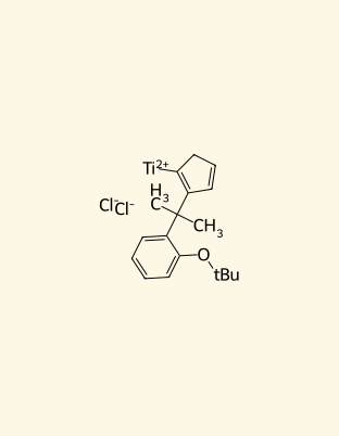 CC(C)(C)Oc1ccccc1C(C)(C)C1=[C]([Ti+2])CC=C1.[Cl-].[Cl-]